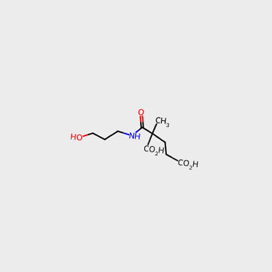 CC(CCC(=O)O)(C(=O)O)C(=O)NCCCO